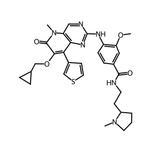 COc1cc(C(=O)NCCC2CCCN2C)ccc1Nc1ncc2c(n1)c(-c1ccsc1)c(OCC1CC1)c(=O)n2C